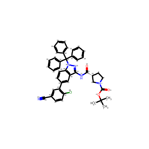 CC(C)(C)OC(=O)N1CC[C@@H](C(=O)Nc2nn(C(c3ccccc3)(c3ccccc3)c3ccccc3)c3ccc(-c4cc(C#N)ccc4Cl)cc23)C1